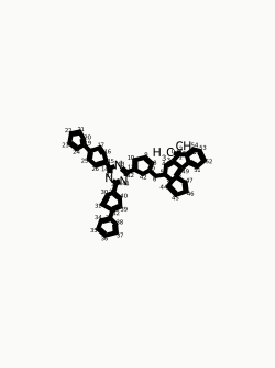 CC1(C)C2=CC(CC3C=CC=C(c4nc(-c5ccc(-c6ccccc6)cc5)nc(-c5ccc(-c6ccccc6)cc5)n4)C3)C3C=CC=CC3=C2c2ccccc21